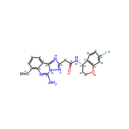 COc1cccc2c1nc(N)n1nc(CC(=O)N[C@H]3CCOc4cc(F)ccc43)nc21